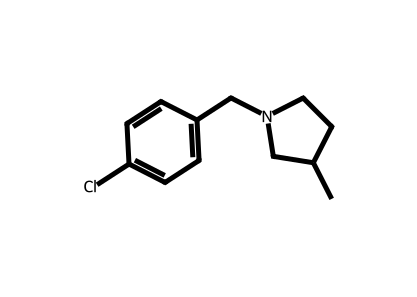 CC1CCN(Cc2ccc(Cl)cc2)C1